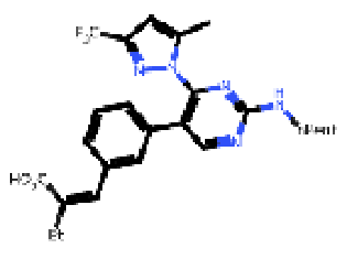 CCCCCNc1ncc(-c2cccc(C=C(CC)C(=O)O)c2)c(-n2nc(C(F)(F)F)cc2C)n1